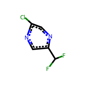 FC(F)c1cnc(Cl)cn1